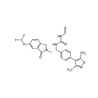 Cc1noc(C)c1-c1ccc([C@H](CN2Cc3ccc(OC(F)F)cc3C2=O)NC(=O)NC=O)cc1